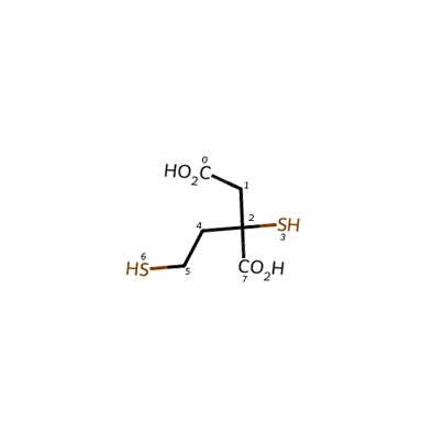 O=C(O)CC(S)(CCS)C(=O)O